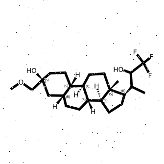 COC[C@]1(O)CC[C@H]2[C@H](CC[C@@H]3[C@@H]2CC[C@]2(C)[C@@H](C(C)C(O)C(F)(F)F)CC[C@@H]32)C1